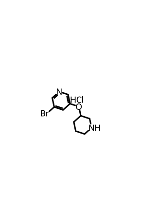 Brc1cncc(OC2CCCNC2)c1.Cl